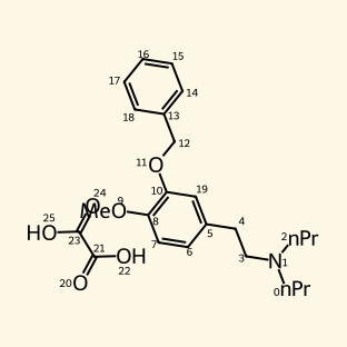 CCCN(CCC)CCc1ccc(OC)c(OCc2ccccc2)c1.O=C(O)C(=O)O